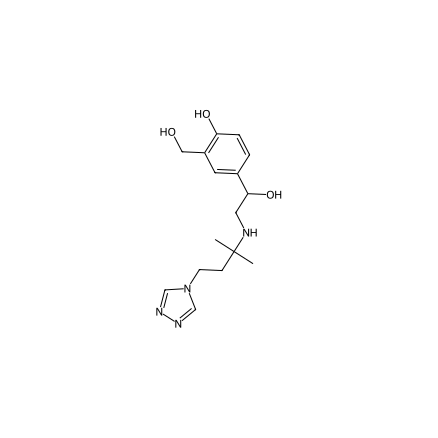 CC(C)(CCn1cnnc1)NCC(O)c1ccc(O)c(CO)c1